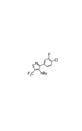 CCCCc1c(-c2ccc(Cl)c(F)c2)nsc1C(F)(F)F